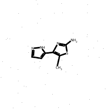 Cc1sc(N)nc1-c1ccn[nH]1